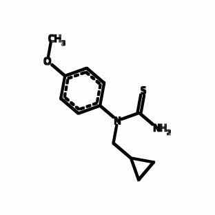 COc1ccc(N(CC2CC2)C(N)=S)cc1